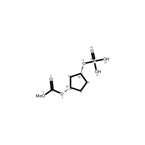 COC(=O)O[C@H]1CC[C@@H](OP(=O)(O)O)C1